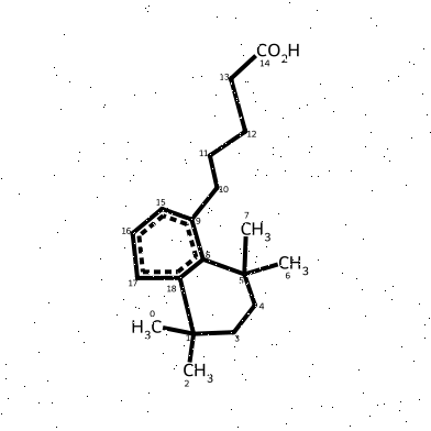 CC1(C)CCC(C)(C)c2c(CCCCC(=O)O)cccc21